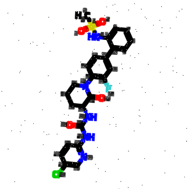 CS(=O)(=O)Nc1ccccc1-c1ccc(N2CCC[C@@H](NC(=O)Nc3ccc(Cl)cn3)C2=O)c(F)c1